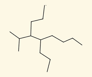 [CH2]CCC(C(C)C)C(CCC)CCCC